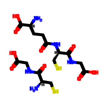 N[C@@H](CCC(=O)N[C@@H](CS)C(=O)NCC(=O)O)C(=O)O.N[C@@H](CS)C(=O)NCC(=O)O